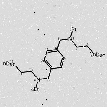 CCCCCCCCCCCCN(CC)Cc1ccc(CN(CC)CCCCCCCCCCCC)cc1